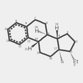 CC[C@H]1CC[C@H]2[C@@H]3CCc4c[c]ccc4[C@H]3CC[C@]12C